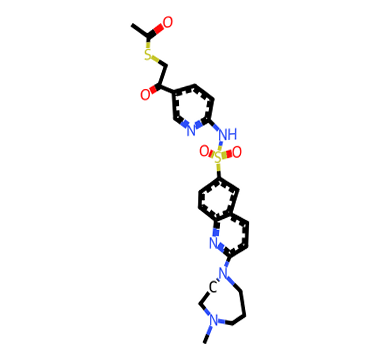 CC(=O)SCC(=O)c1ccc(NS(=O)(=O)c2ccc3nc(N4CCCN(C)CC4)ccc3c2)nc1